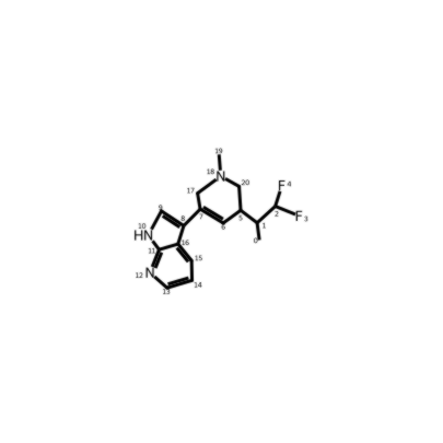 CC(C(F)F)C1C=C(c2c[nH]c3ncccc23)CN(C)C1